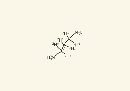 [2H]C([2H])(N)C([2H])([2H])C([2H])([2H])N